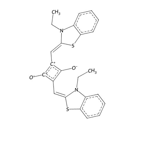 CCN1C(=Cc2c([O-])[c+](C=C3Sc4ccccc4N3CC)[c+]2[O-])Sc2ccccc21